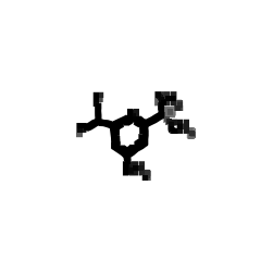 C[C@@H](N)c1cc(N)cc(C(F)F)n1